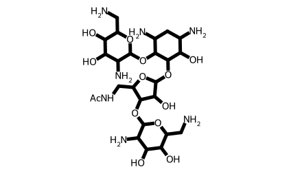 CC(=O)NCC1OC(OC2C(O)C(N)CC(N)C2OC2OC(CN)C(O)C(O)C2N)C(O)C1OC1OC(CN)C(O)C(O)C1N